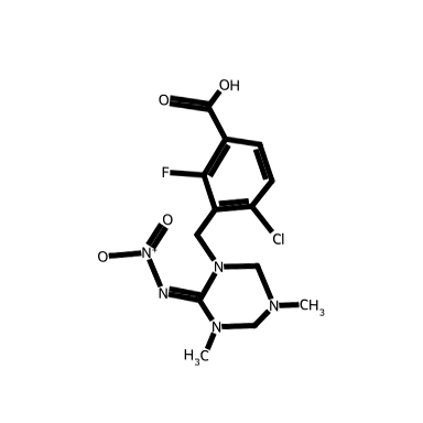 CN1CN(C)C(=N[N+](=O)[O-])N(Cc2c(Cl)ccc(C(=O)O)c2F)C1